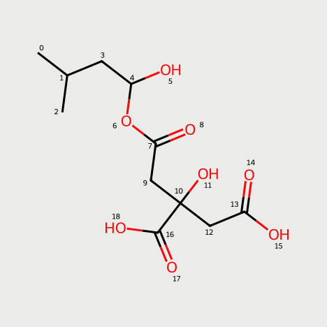 CC(C)CC(O)OC(=O)CC(O)(CC(=O)O)C(=O)O